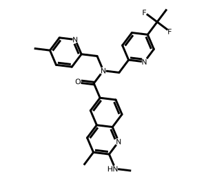 CNc1nc2ccc(C(=O)N(Cc3ccc(C)cn3)Cc3ccc(C(C)(F)F)cn3)cc2cc1C